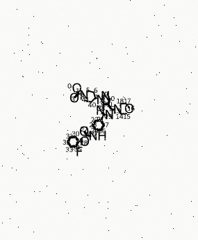 COC(=O)N1CCC(n2ncc3c(N4CCOCC4)nc(-c4ccc(NC(=O)Oc5ccccc5F)cc4)nc32)CC1